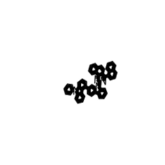 c1ccc(-n2c3ccccc3c3c(-c4ccc5c6ccccc6n(-c6nc(-c7cccc8ccccc78)c7ccc8ccccc8c7n6)c5c4)cccc32)cc1